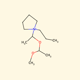 CCC[N+]1(C(C)OC(C)OC)CCCC1